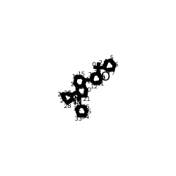 CC1(C)c2ccccc2Oc2ccc(-c3cccc4c3ccc3c4c4ccccc4n3-c3ccccc3)cc21